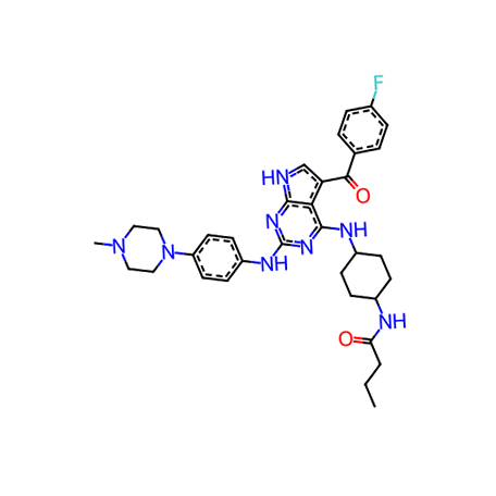 CCCC(=O)NC1CCC(Nc2nc(Nc3ccc(N4CCN(C)CC4)cc3)nc3[nH]cc(C(=O)c4ccc(F)cc4)c23)CC1